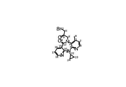 Cc1ccnc2c1N(CC(=O)CBr)C(=O)c1cccnc1N2C1CC1